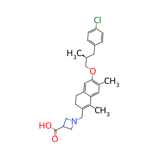 CC1=C(CN2CC(C(=O)O)C2)CCc2cc(OC[C@@H](C)Cc3ccc(Cl)cc3)c(C)cc21